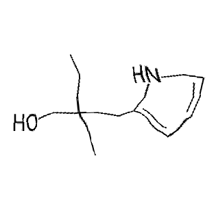 CC(C)(O)c1ccc[nH]1